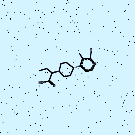 CCC(C(=O)O)[C@H]1CC[C@H](c2ccnc(F)c2C)CC1